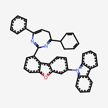 C1=CCC(C2=NC(c3cccc4oc5cc(-n6c7ccccc7c7ccccc76)ccc5c34)=NC(c3ccccc3)=CC2)C=C1